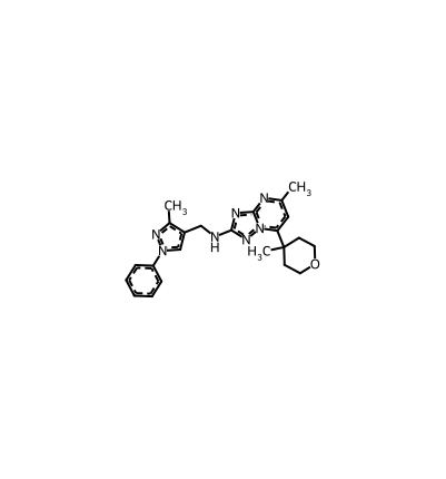 Cc1cc(C2(C)CCOCC2)n2nc(NCc3cn(-c4ccccc4)nc3C)nc2n1